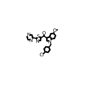 COc1ccc2c(c1)c(C(=O)c1cnc(-c3cnccn3)s1)cn2Cc1ccc(Cl)cc1